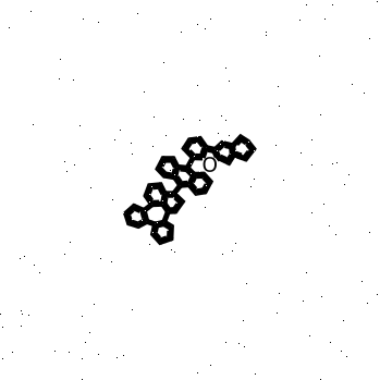 c1ccc2c(c1)-c1ccccc1-c1ccc(-c3c4ccccc4c(-c4cccc5c4oc4cc6ccccc6cc45)c4ccccc34)c3cccc-2c13